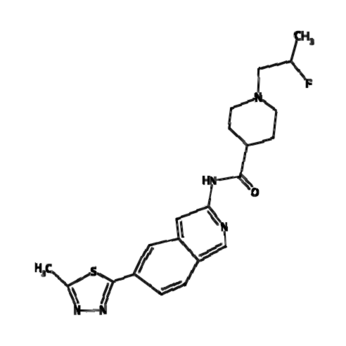 Cc1nnc(-c2ccc3cnc(NC(=O)C4CCN(CC(C)F)CC4)cc3c2)s1